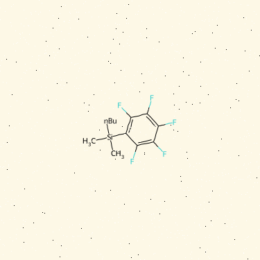 CCCC[Si](C)(C)c1c(F)c(F)c(F)c(F)c1F